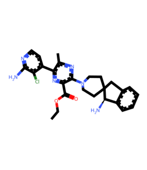 CCOC(=O)c1nc(-c2ccnc(N)c2Cl)c(C)nc1N1CCC2(CC1)Cc1ccccc1[C@H]2N